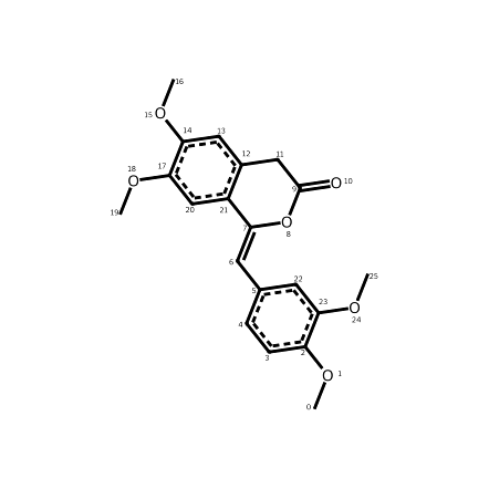 COc1ccc(C=C2OC(=O)Cc3cc(OC)c(OC)cc32)cc1OC